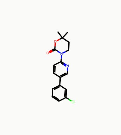 CC1(C)CCN(c2ccc(-c3cccc(Cl)c3)cn2)C(=O)O1